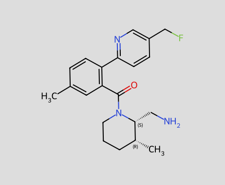 Cc1ccc(-c2ccc(CF)cn2)c(C(=O)N2CCC[C@@H](C)[C@H]2CN)c1